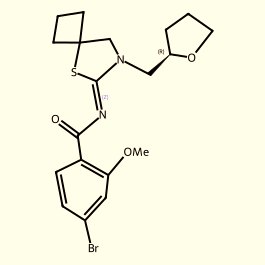 COc1cc(Br)ccc1C(=O)/N=C1\SC2(CCC2)CN1C[C@H]1CCCO1